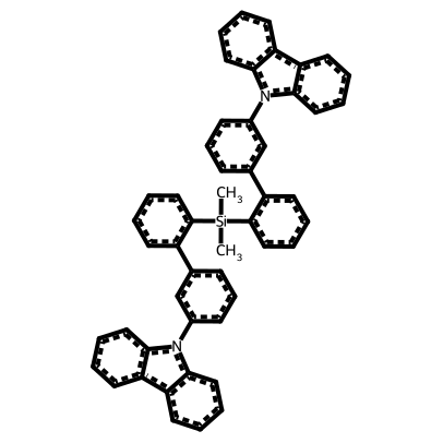 C[Si](C)(c1ccccc1-c1cccc(-n2c3ccccc3c3ccccc32)c1)c1ccccc1-c1cccc(-n2c3ccccc3c3ccccc32)c1